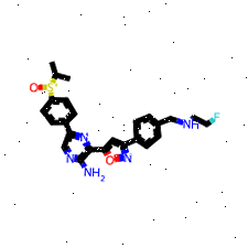 CC(C)[S+]([O-])c1ccc(-c2cnc(N)c(-c3cc(-c4ccc(CNCCF)cc4)no3)n2)cc1